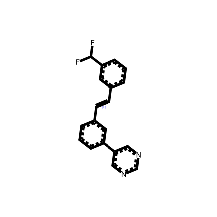 FC(F)c1cccc(/C=C/c2cccc(-c3cncnc3)c2)c1